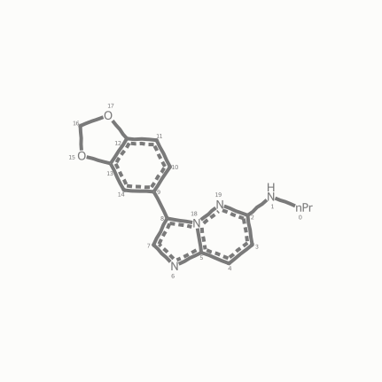 CCCNc1ccc2ncc(-c3ccc4c(c3)OCO4)n2n1